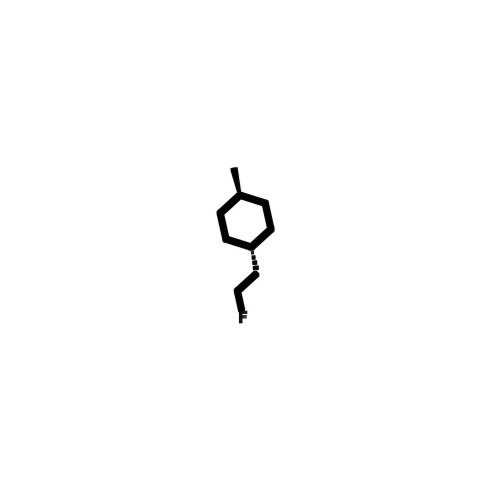 C[C@H]1CC[C@H](CCF)CC1